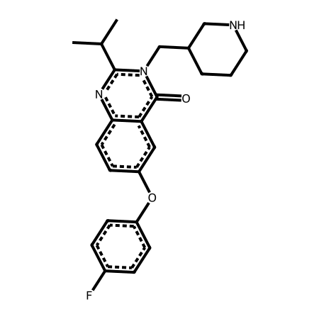 CC(C)c1nc2ccc(Oc3ccc(F)cc3)cc2c(=O)n1CC1CCCNC1